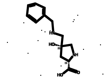 O=C(O)[C@@H]1C[C@@](O)(CNCc2ccccc2)CN1